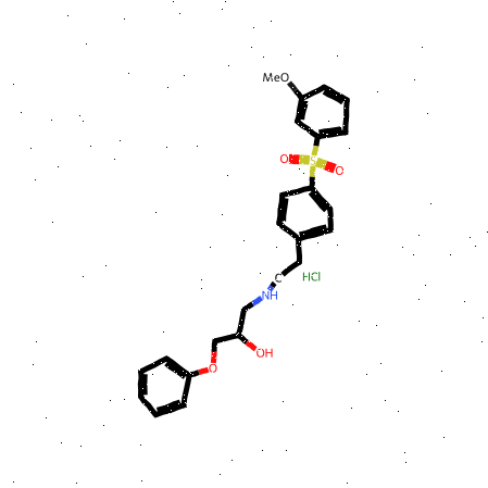 COc1cccc(S(=O)(=O)c2ccc(CCNCC(O)COc3ccccc3)cc2)c1.Cl